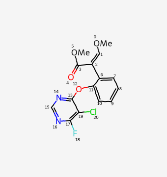 COC=C(C(=O)OC)c1ccccc1Oc1ncnc(F)c1Cl